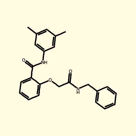 Cc1cc(C)cc(NC(=O)c2ccccc2OCC(=O)NCc2ccccc2)c1